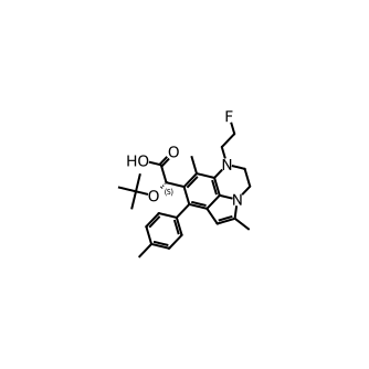 Cc1ccc(-c2c([C@H](OC(C)(C)C)C(=O)O)c(C)c3c4c2cc(C)n4CCN3CCF)cc1